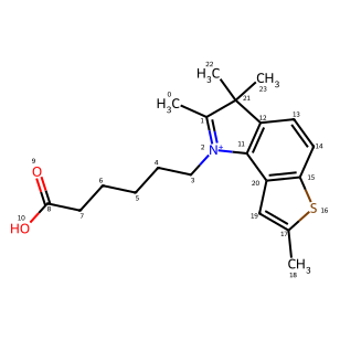 CC1=[N+](CCCCCC(=O)O)c2c(ccc3sc(C)cc23)C1(C)C